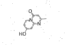 Cc1cc(=O)n2ccc(O)cc2n1